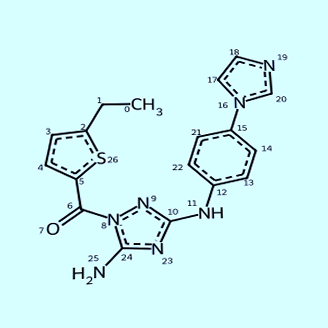 CCc1ccc(C(=O)n2nc(Nc3ccc(-n4ccnc4)cc3)nc2N)s1